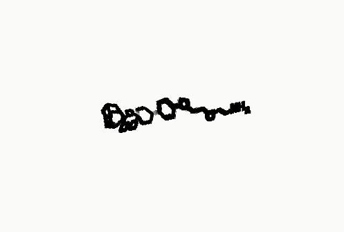 NCCOCCOc1ccc([C@H]2CC[C@]3(CC2)OO[C@]2(O3)C3CC4CC(C3)CC2C4)cc1